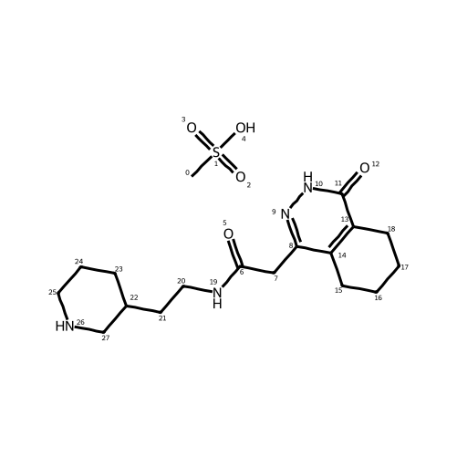 CS(=O)(=O)O.O=C(Cc1n[nH]c(=O)c2c1CCCC2)NCCC1CCCNC1